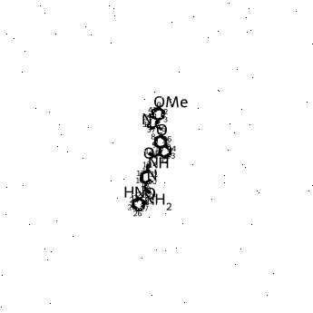 COc1ccc2c(Oc3ccc4c(C(=O)NCc5ccc(C(=O)Nc6ccccc6N)cn5)cccc4c3)ccnc2c1